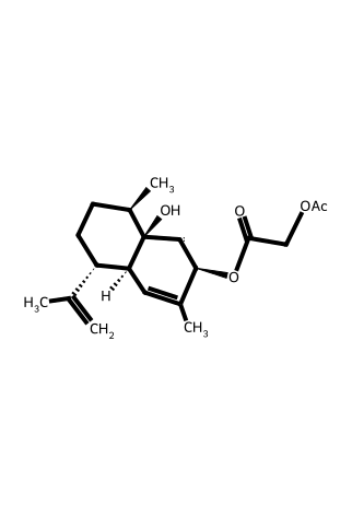 C=C(C)[C@@H]1CC[C@@H](C)[C@]2(O)[C][C@@H](OC(=O)COC(C)=O)C(C)=C[C@@H]12